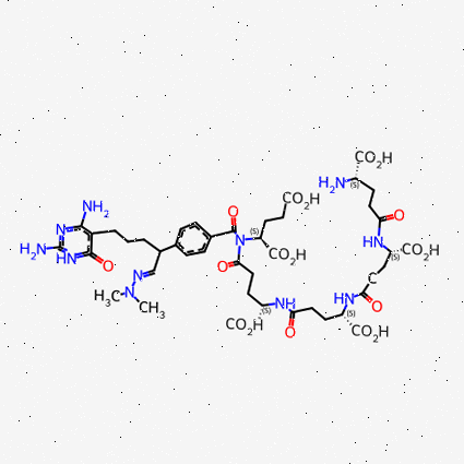 CN(C)N=CC(CCCc1c(N)nc(N)[nH]c1=O)c1ccc(C(=O)N(C(=O)CC[C@H](NC(=O)CC[C@H](NC(=O)CC[C@H](NC(=O)CC[C@H](N)C(=O)O)C(=O)O)C(=O)O)C(=O)O)[C@@H](CCC(=O)O)C(=O)O)cc1